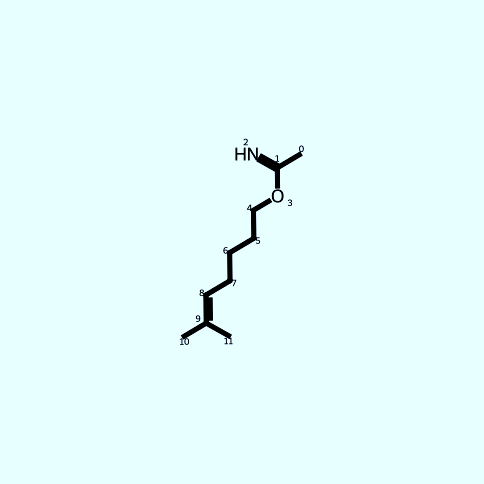 CC(=N)OCCCCC=C(C)C